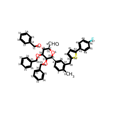 Cc1ccc([C@@H]2O[C@H](C=O)[C@@H](OCc3ccccc3)C(OCc3ccccc3)C2OCc2ccccc2)cc1Cc1ccc(-c2ccc(F)cc2)s1